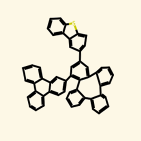 c1ccc2c(c1)-c1ccccc1-c1cc(-c3ccc4sc5ccccc5c4c3)cc(-c3ccc4c5ccccc5c5ccccc5c4c3)c1-c1ccccc1-2